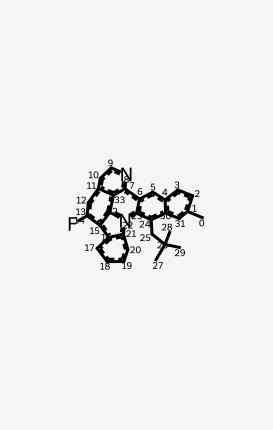 Cc1ccc2cc3c4nccc5cc(F)c6c7ccccc7n(c3c(CC(C)(C)C)c2c1)c6c54